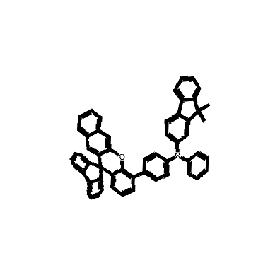 CC1(C)c2ccccc2-c2ccc(N(c3ccccc3)c3ccc(-c4cccc5c4Oc4cc6ccccc6cc4C54c5ccccc5-c5ccccc54)cc3)cc21